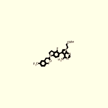 COCCn1cc(-c2ccc3c(c2F)CCN3C(=O)Cc2cc(C(F)(F)F)ccc2F)c2c(N)ncnc21